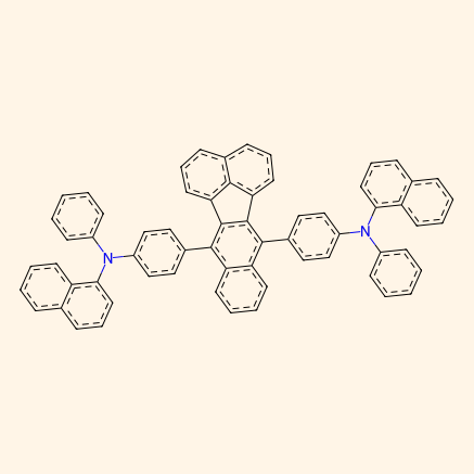 c1ccc(N(c2ccc(-c3c4c(c(-c5ccc(N(c6ccccc6)c6cccc7ccccc67)cc5)c5ccccc35)-c3cccc5cccc-4c35)cc2)c2cccc3ccccc23)cc1